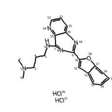 CN(C)CCCNc1nc(-c2cc3ccccc3o2)nc2cccnc12.Cl.Cl